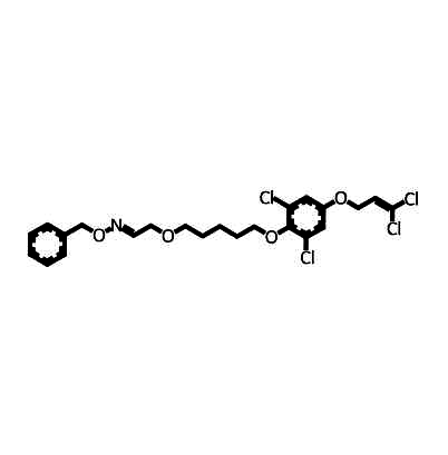 ClC(Cl)=CCOc1cc(Cl)c(OCCCCCOCC=NOCc2ccccc2)c(Cl)c1